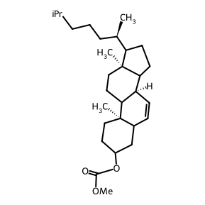 COC(=O)OC1CC[C@]2(C)C(C=C[C@H]3C2CC[C@]2(C)C3CCC2[C@H](C)CCCC(C)C)C1